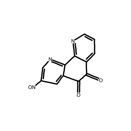 O=Nc1cnc2c(c1)C(=O)C(=O)c1cccnc1-2